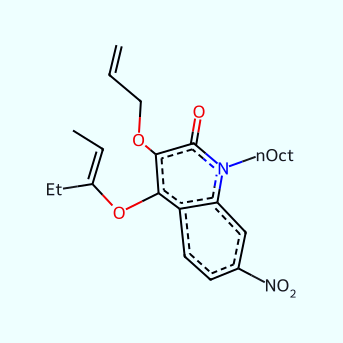 C=CCOc1c(OC(=CC)CC)c2ccc([N+](=O)[O-])cc2n(CCCCCCCC)c1=O